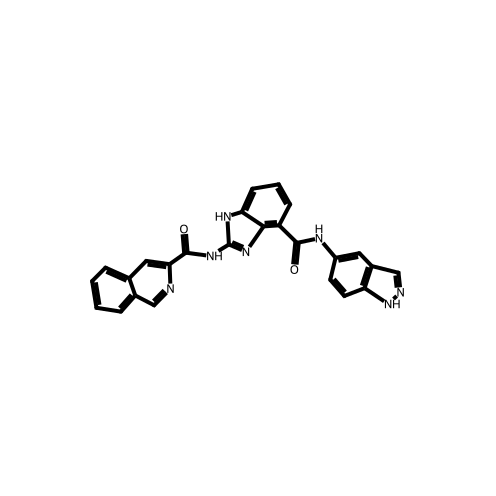 O=C(Nc1nc2c(C(=O)Nc3ccc4[nH]ncc4c3)cccc2[nH]1)c1cc2ccccc2cn1